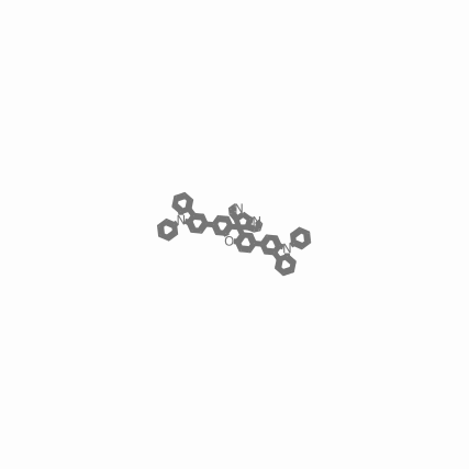 c1ccc(-n2c3ccccc3c3cc(-c4ccc5c(c4)Oc4ccc(-c6ccc7c(c6)c6ccccc6n7-c6ccccc6)cc4C54c5cccnc5-c5ncccc54)ccc32)cc1